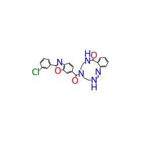 O=C1NCCN(C(=O)c2ccc3nc(-c4cccc(Cl)c4)oc3c2)CCN/C=N/c2ccccc21